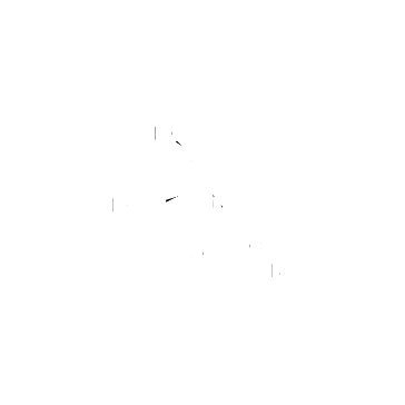 CC(C)(C)OC(=O)N1CC[C@H](O)[C@@H]1C(=O)O